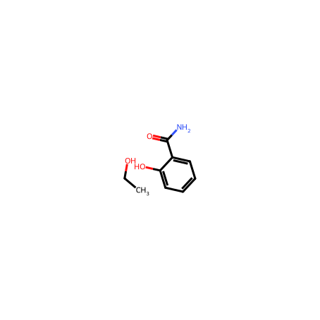 CCO.NC(=O)c1ccccc1O